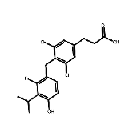 CC(C)c1c(O)ccc(Cc2c(Cl)cc(CCC(=O)O)cc2Cl)c1F